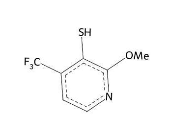 COc1nccc(C(F)(F)F)c1S